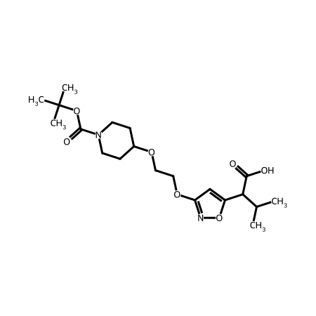 CC(C)C(C(=O)O)c1cc(OCCOC2CCN(C(=O)OC(C)(C)C)CC2)no1